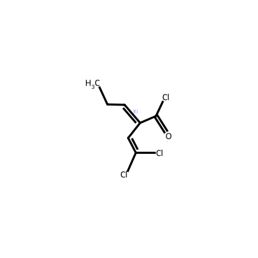 CC/C=C(\C=C(Cl)Cl)C(=O)Cl